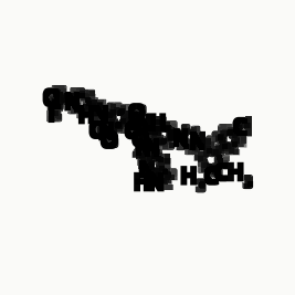 CC1(C)CCC(CN2CCN(c3ccc(C(=O)NS(=O)(=O)c4ccc(NCC5CCN(C6CO[C@H]6F)CC5)c([N+](=O)[O-])c4)c(-n4ncc5nc6[nH]ccc6cc54)c3)CC2)=C(c2ccc(Cl)cc2)C1